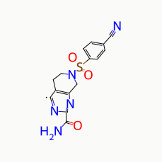 N#Cc1ccc(S(=O)(=O)N2CCc3[c]nc(C(N)=O)nc3C2)cc1